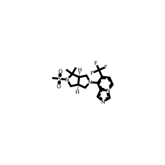 CC1(C)[C@H]2CN(c3c(C(F)(F)F)ccn4cncc34)C[C@H]2CN1S(C)(=O)=O